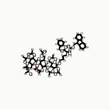 CC(=O)OCC1O[C@@H](OCC=CC[C@H](NC(=O)OCC2c3ccccc3-c3ccccc32)C(=O)OCc2ccccc2)C(OC(C)=O)[C@@H](OC(C)=O)[C@@H]1O[C@@H]1OC(COC(C)=O)[C@H](O[C@H]2OC(COC(C)=O)[C@H](OC(C)=O)[C@H](OC(C)=O)C2OC(C)=O)[C@H](OC(C)=O)C1OC(C)=O